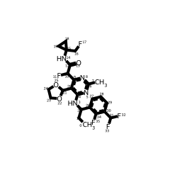 CCC(Nc1nc(C)nc(C(F)C(=O)NC2(CF)CC2)c1C1OCCO1)c1cccc(C(F)F)c1F